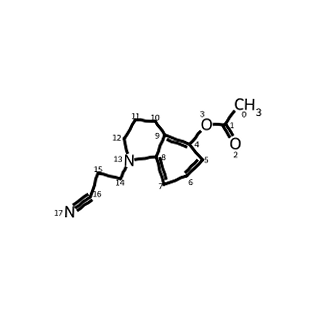 CC(=O)Oc1cccc2c1CCCN2CCC#N